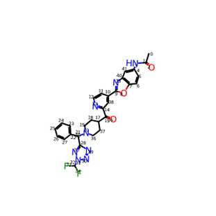 CC(=O)Nc1ccc2oc(-c3ccnc(C(=O)C4CCN([C@H](c5ccccc5)c5nnn(C(F)F)n5)CC4)c3)nc2c1